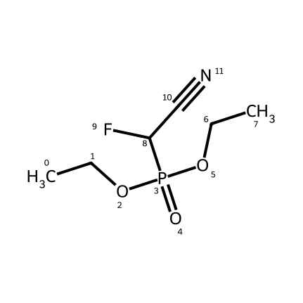 CCOP(=O)(OCC)C(F)C#N